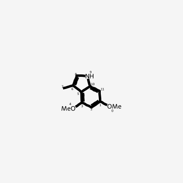 COc1cc(OC)c2c(C)c[nH]c2c1